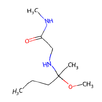 CCCC(C)(NCC(=O)NC)OC